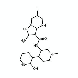 CN1CCC(C2CCCNC2O)C(NC(=O)C2C(N)NN3CC(F)CNC23)C1